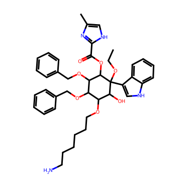 CCOC1(c2c[nH]c3ccccc23)C(O)C(OCCCCCCN)C(OCc2ccccc2)C(OCc2ccccc2)C1OC(=O)c1nc(C)c[nH]1